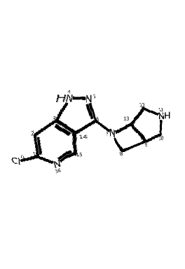 Clc1cc2[nH]nc(N3CC4CNCC43)c2cn1